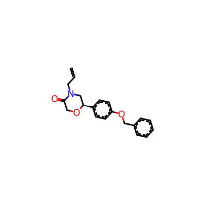 C=CCN1C[C@@H](c2ccc(OCc3ccccc3)cc2)OCC1=O